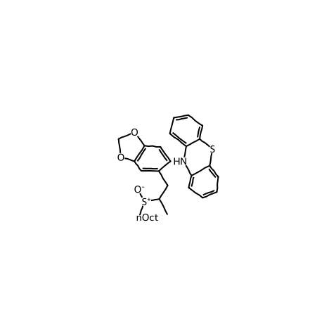 CCCCCCCC[S+]([O-])C(C)Cc1ccc2c(c1)OCO2.c1ccc2c(c1)Nc1ccccc1S2